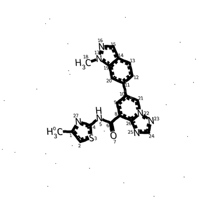 Cc1csc(NC(=O)c2cc(-c3ccc4cnn(C)c4c3)cn3ncnc23)n1